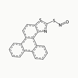 O=NSc1nc2c(ccc3c4ccccc4c4ccccc4c32)s1